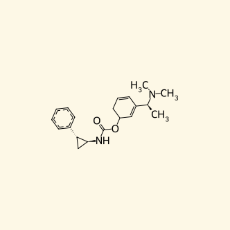 C[C@@H](C1=CC(OC(=O)N[C@H]2C[C@@H]2c2ccccc2)CC=C1)N(C)C